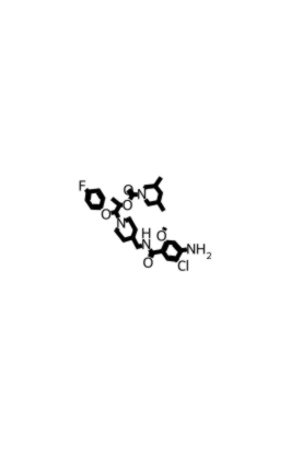 COc1cc(N)c(Cl)cc1C(=O)NCC1CCN(C(Oc2ccc(F)cc2)C(C)OC(=O)N2CC(C)CC(C)C2)CC1